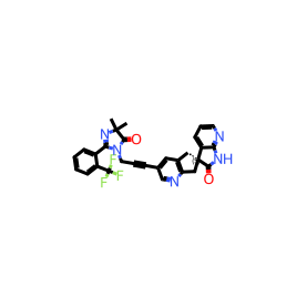 CC1(C)N=C(c2ccccc2C(F)(F)F)N(CC#Cc2cnc3c(c2)C[C@@]2(C3)C(=O)Nc3ncccc32)C1=O